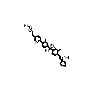 CCOOCCc1ccc(-c2ccc(C(CC)(CC)c3ccc(/C=C/C4(O)CCCC4)c(C)c3)cc2C)nc1